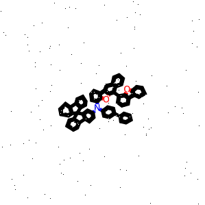 c1ccc(-c2ccc(N(c3ccc4c(c3)C3(c5ccccc5-c5ccccc53)c3ccccc3-4)c3cccc4c3oc3c(-c5cccc6c5oc5ccccc56)c5ccccc5cc34)cc2)cc1